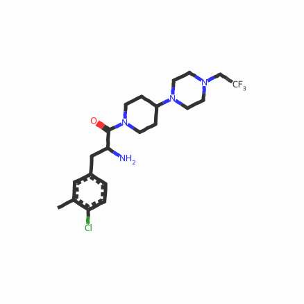 Cc1cc(CC(N)C(=O)N2CCC(N3CCN(CC(F)(F)F)CC3)CC2)ccc1Cl